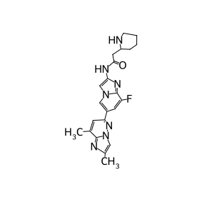 Cc1cn2nc(-c3cc(F)c4nc(NC(=O)CC5CCCCN5)cn4c3)cc(C)c2n1